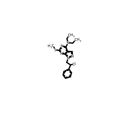 CCN(CC)c1nc(SC)nc2c1cnn2CC(Cl)c1ccccc1